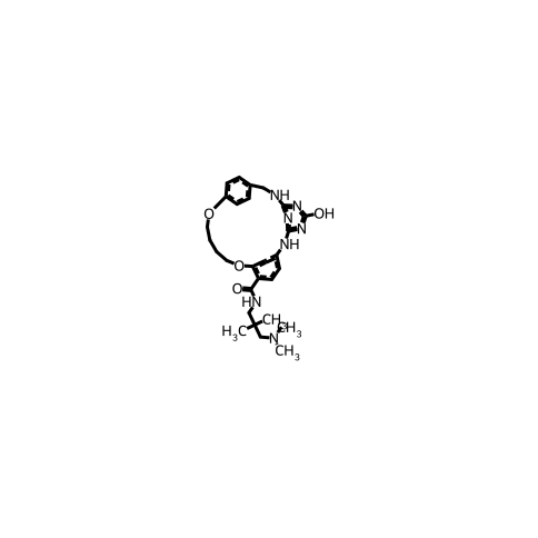 CN(C)CC(C)(C)CNC(=O)c1ccc2cc1OCCCCOc1ccc(cc1)CNc1nc(O)nc(n1)N2